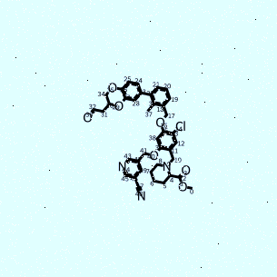 COC(=O)C1CCCCN1Cc1cc(Cl)c(OCc2cccc(-c3ccc4c(c3)OC(CC=O)CO4)c2C)cc1OCc1cncc(C#N)c1